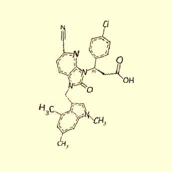 Cc1cc(C)c2c(Cn3c(=O)n([C@H](CC(=O)O)c4ccc(Cl)cc4)c4nc(C#N)ccc43)cn(C)c2c1